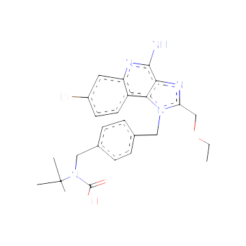 CCOCc1nc2c(N)nc3cc(Br)ccc3c2n1Cc1ccc(CN(C(=O)O)C(C)(C)C)cc1